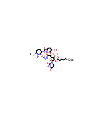 CCCCCCCCCCCCCCC(=O)O[C@@H]1[C@H](CO)[C@@H]([C@@H](O[C@H]2OC(C(=O)N[C@H]3CCC[C@@H](C)NC3=O)=CC[C@@H]2O)C(N)=O)O[C@H]1n1ccc(=O)[nH]c1=O